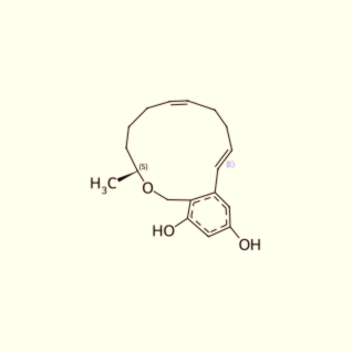 C[C@H]1CCCC=CCC/C=C/c2cc(O)cc(O)c2CO1